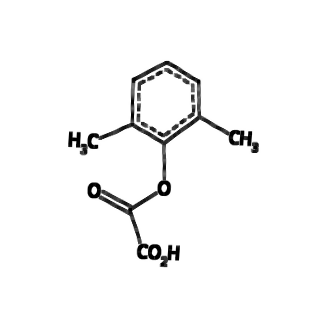 Cc1cccc(C)c1OC(=O)C(=O)O